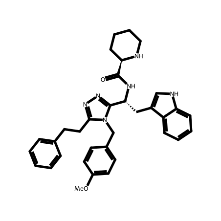 COc1ccc(Cn2c(CCc3ccccc3)nnc2[C@@H](Cc2c[nH]c3ccccc23)NC(=O)[C@H]2CCCCN2)cc1